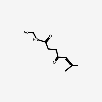 CC(=O)CNC(=O)CCC(=O)C=C(C)C